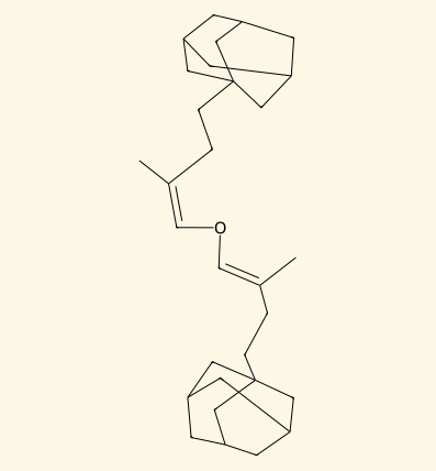 CC(=COC=C(C)CCC12CC3CC(CC(C3)C1)C2)CCC12CC3CC(CC(C3)C1)C2